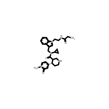 CCC(=O)NCCn1cc(CN(C(=O)C2CNCC[C@@H]2c2ccn(C)c(=O)c2)C2CC2)c2ccccc21